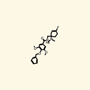 CCN(C)C1(CNC(=O)c2cc(OC)c(OCc3ccccc3)c(OC)c2)CC=C(F)CC1